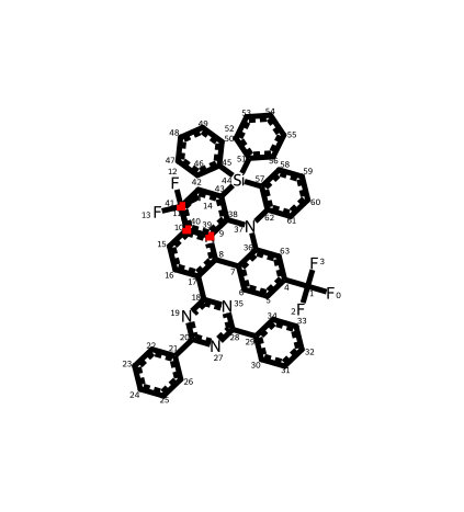 FC(F)(F)c1ccc(-c2nc(C(F)(F)F)ccc2-c2nc(-c3ccccc3)nc(-c3ccccc3)n2)c(N2c3ccccc3[Si](c3ccccc3)(c3ccccc3)c3ccccc32)c1